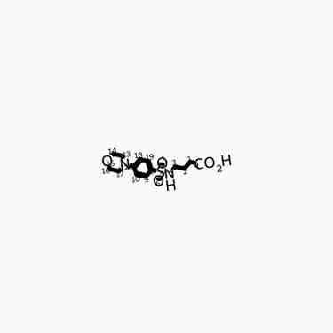 O=C(O)CCCNS(=O)(=O)c1ccc(N2CCOCC2)cc1